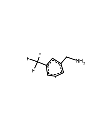 NCc1c[c]cc(C(F)(F)F)c1